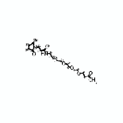 CC(=O)CCOCCOCCOCCOCCNC(=O)CCN1C(=O)CCC1=O